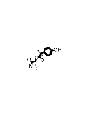 C[C@H](C(=O)OCC(N)=O)c1ccc(O)cc1